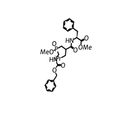 COC(=O)[C@H](Cc1ccccc1)NC(=O)C(CC(C)C)CP(=O)(CNC(=O)OCc1ccccc1)OC